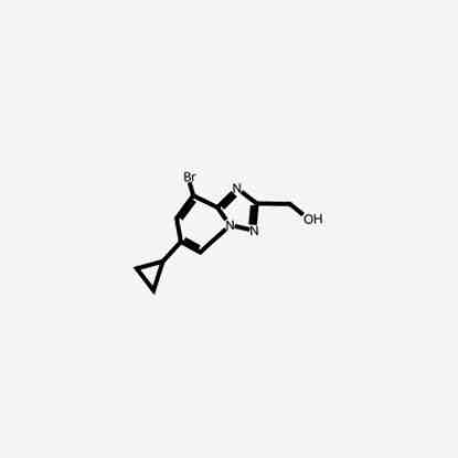 OCc1nc2c(Br)cc(C3CC3)cn2n1